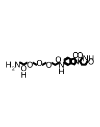 NCC(O)COCCOCCOCCC(=O)Nc1ccc2c(c1)CN(C1CCC(=O)NC1=O)C2=O